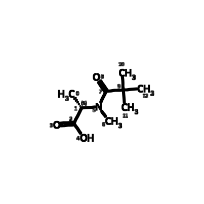 C[C@@H](C(=O)O)N(C)C(=O)C(C)(C)C